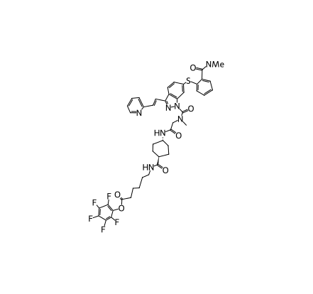 CNC(=O)c1ccccc1Sc1ccc2c(/C=C/c3ccccn3)nn(C(=O)N(C)CC(=O)N[C@H]3CC[C@H](C(=O)NCCCCCC(=O)Oc4c(F)c(F)c(F)c(F)c4F)CC3)c2c1